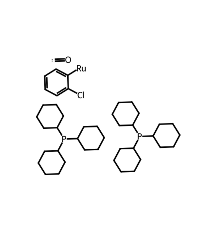 C1CCC(P(C2CCCCC2)C2CCCCC2)CC1.C1CCC(P(C2CCCCC2)C2CCCCC2)CC1.Clc1cccc[c]1[Ru].[C]=O